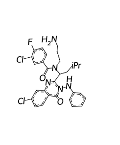 CC(C)CC(c1nc2cc(Cl)ccc2c(=O)n1Nc1ccccc1)N(CCCN)C(=O)c1ccc(F)c(Cl)c1